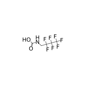 O=C(O)NCC(F)(F)C(F)(F)C(F)(F)F